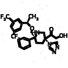 C[C@@H](OC[C@@]1(c2ccccc2)CC[C@@](C(=O)CO)(n2cnnc2)CN1)c1cc(C(F)(F)F)cc(C(F)(F)F)c1